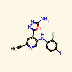 C#Cc1cc(-c2nnc(N)o2)c(Nc2ccc(I)cc2F)cn1